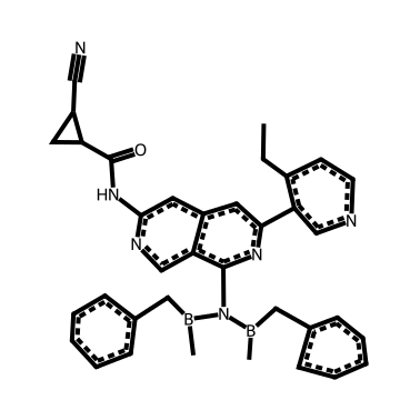 CCc1ccncc1-c1cc2cc(NC(=O)C3CC3C#N)ncc2c(N(B(C)Cc2ccccc2)B(C)Cc2ccccc2)n1